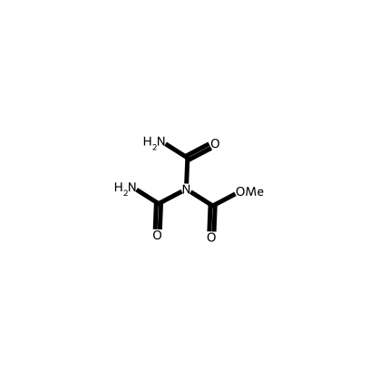 COC(=O)N(C(N)=O)C(N)=O